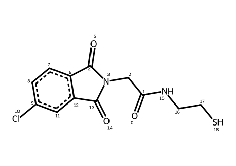 O=C(CN1C(=O)c2ccc(Cl)cc2C1=O)NCCS